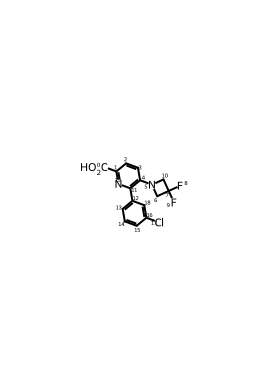 O=C(O)c1ccc(N2CC(F)(F)C2)c(-c2cccc(Cl)c2)n1